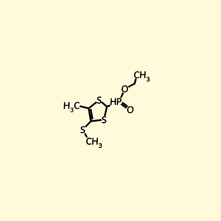 CCO[PH](=O)C1SC(C)=C(SC)S1